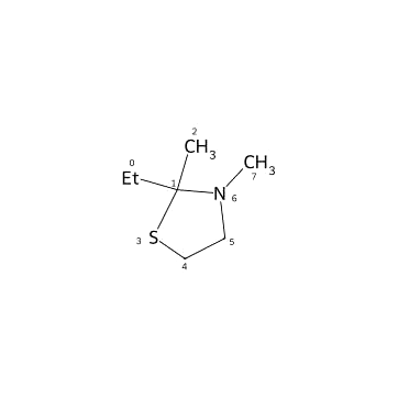 CCC1(C)SCCN1C